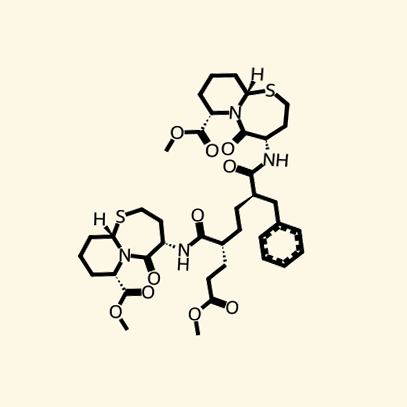 COC(=O)CC[C@@H](CC[C@H](Cc1ccccc1)C(=O)N[C@H]1CCS[C@H]2CCC[C@@H](C(=O)OC)N2C1=O)C(=O)N[C@H]1CCS[C@H]2CCC[C@@H](C(=O)OC)N2C1=O